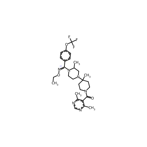 CCO/N=C(/c1ccc(OC(F)(F)F)cc1)N1CCN(C2(C)CCN(C(=O)c3c(C)ncnc3C)CC2)CC1C